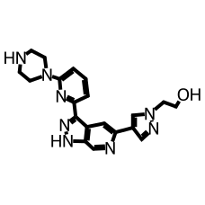 OCCn1cc(-c2cc3c(-c4cccc(N5CCNCC5)n4)n[nH]c3cn2)cn1